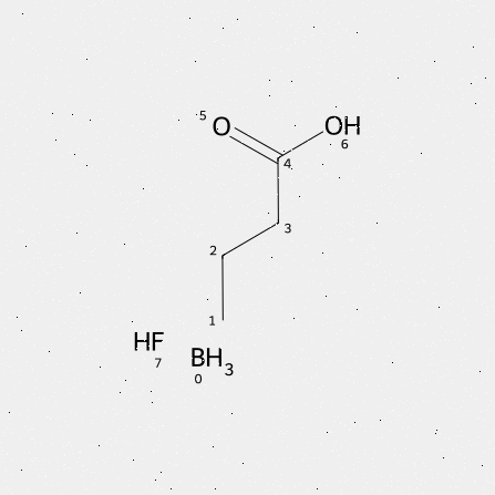 B.CCCC(=O)O.F